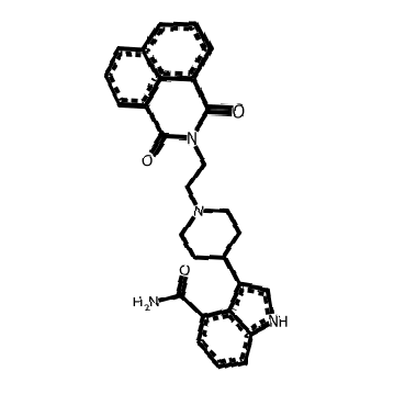 NC(=O)c1cccc2[nH]cc(C3CCN(CCN4C(=O)c5cccc6cccc(c56)C4=O)CC3)c12